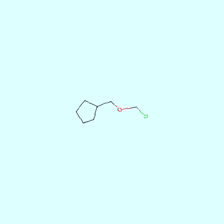 ClCOCC1CCCC1